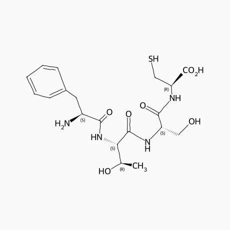 C[C@@H](O)[C@H](NC(=O)[C@@H](N)Cc1ccccc1)C(=O)N[C@@H](CO)C(=O)N[C@@H](CS)C(=O)O